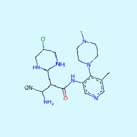 Cc1cncc(NC(=O)C(C(N)N=O)C2NCC(Cl)CN2)c1N1CCN(C)CC1